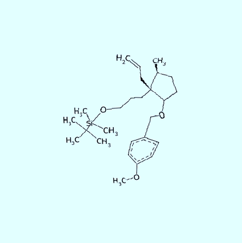 C=CC[C@]1(CCCO[Si](C)(C)C(C)(C)C)C(OCc2ccc(OC)cc2)CC[C@@H]1C